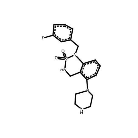 O=S1(=O)NCc2c(N3CCNCC3)cccc2N1Cc1cccc(F)c1